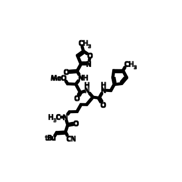 COCC(NC(=O)c1cc(C)on1)C(=O)NC(CCCCN(C)C(=O)C(C#N)=CC(C)(C)C)C(=O)NCc1ccc(C)cc1